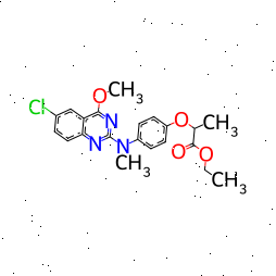 CCOC(=O)C(C)Oc1ccc(N(C)c2nc(OC)c3cc(Cl)ccc3n2)cc1